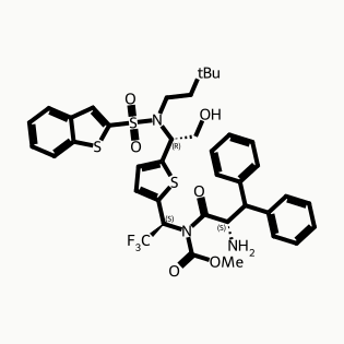 COC(=O)N(C(=O)[C@@H](N)C(c1ccccc1)c1ccccc1)[C@H](c1ccc([C@@H](CO)N(CCC(C)(C)C)S(=O)(=O)c2cc3ccccc3s2)s1)C(F)(F)F